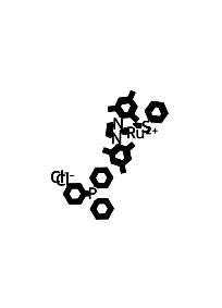 C1CCC(P(C2CCCCC2)C2CCCCC2)CC1.Cc1cc(C)c(-n2ccn(-c3c(C)cc(C)cc3C)[c]2=[Ru+2]=[CH]Sc2ccccc2)c(C)c1.[Cl-].[Cl-]